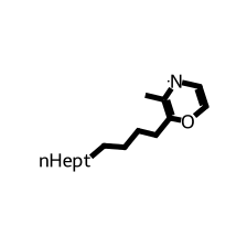 CCCCCCCCCCCC1=C(C)[N]C=CO1